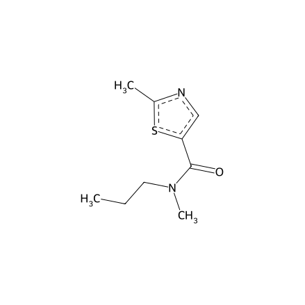 CCCN(C)C(=O)c1cnc(C)s1